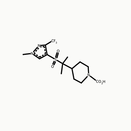 Cn1cc(S(=O)(=O)C(C)(C)C2CCN(C(=O)O)CC2)c(C(F)(F)F)n1